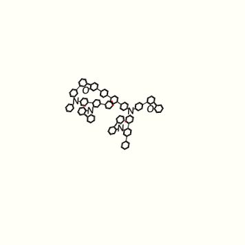 c1ccc(-c2ccc(-c3ccc(N(c4ccc(-c5ccc(-c6ccc(-c7ccc8c(c7)oc7c(-c9cccc(N(c%10ccccc%10)c%10ccc(-c%11ccc(-c%12ccccc%12)cc%11-n%11c%12ccccc%12c%12ccccc%12%11)cc%10)c9)cccc78)cc6)cc5)cc4)c4ccc(-c5cccc6c5oc5ccccc56)cc4)cc3)c(-n3c4ccccc4c4ccccc43)c2)cc1